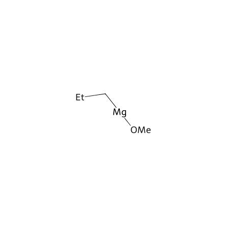 CC[CH2][Mg][O]C